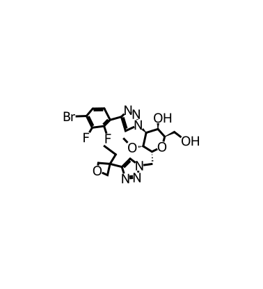 CCC1(c2cn(C[C@H]3O[C@H](CO)[C@H](O)[C@H](n4cc(-c5ccc(Br)c(F)c5F)nn4)[C@H]3OC)nn2)COC1